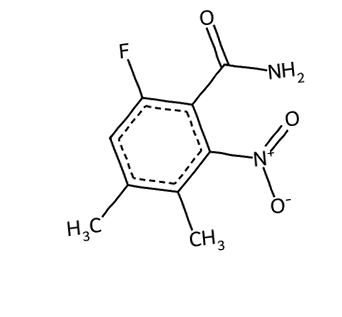 Cc1cc(F)c(C(N)=O)c([N+](=O)[O-])c1C